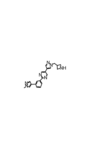 Cn1cc(-c2cccc(-c3ncc(-c4cnn(CC5CNC5)c4)cn3)c2)cn1